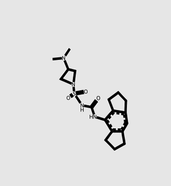 CN(C)C1CN(S(=O)(=O)NC(=O)Nc2c3c(cc4c2CCC4)CCC3)C1